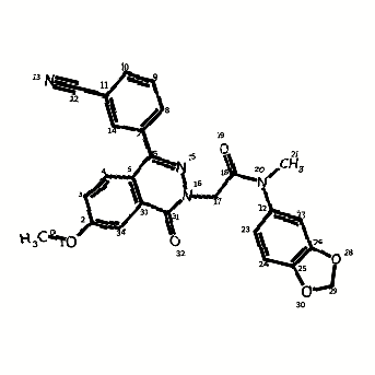 COc1ccc2c(-c3cccc(C#N)c3)nn(CC(=O)N(C)c3ccc4c(c3)OCO4)c(=O)c2c1